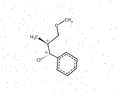 COC[C@H](C)[C@@H](Cl)c1ccccc1